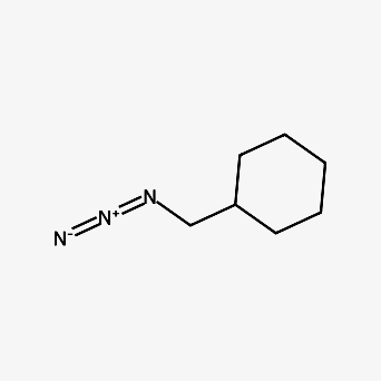 [N-]=[N+]=NCC1CCCCC1